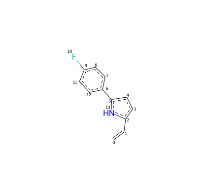 C=Cc1ccc(-c2ccc(F)cc2)[nH]1